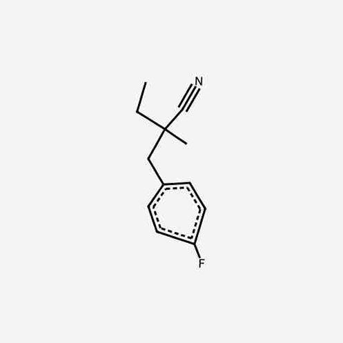 CCC(C)(C#N)Cc1ccc(F)cc1